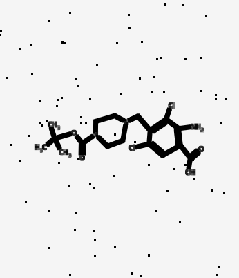 CC(C)(C)OC(=O)N1CCN(Cc2c(Cl)cc(C(=O)O)c(N)c2Cl)CC1